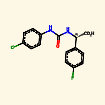 O=C(Nc1ccc(Cl)cc1)N[C@H](C(=O)O)c1ccc(F)cc1